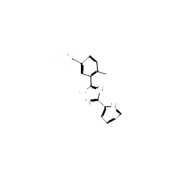 O=[N+]([O-])c1ccc(F)c(-c2nc(-c3ccccn3)no2)c1